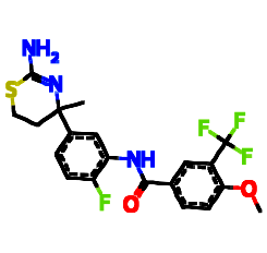 COc1ccc(C(=O)Nc2cc(C3(C)CCSC(N)=N3)ccc2F)cc1C(F)(F)F